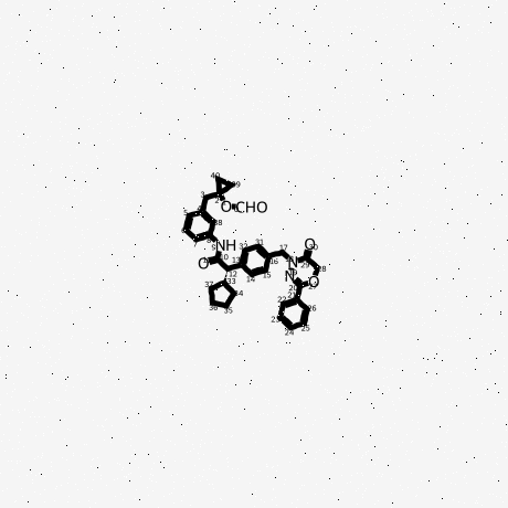 O=COC1(Cc2cccc(NC(=O)[C@H](c3ccc(CN4N=C(c5ccccc5)OCC4=O)cc3)C3CCCC3)c2)CC1